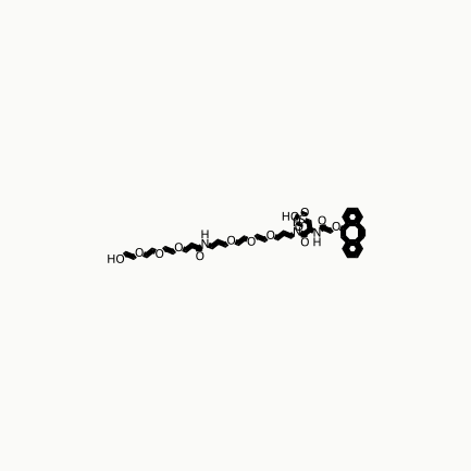 O=C(CCOCCOCCOCCO)NCCCOCCOCCOCCCNC(=O)C(CS(=O)(=O)O)NC(=O)COC1Cc2ccccc2C#Cc2ccccc21